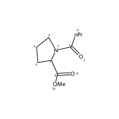 CCCC(=O)N1CCCC1C(=O)OC